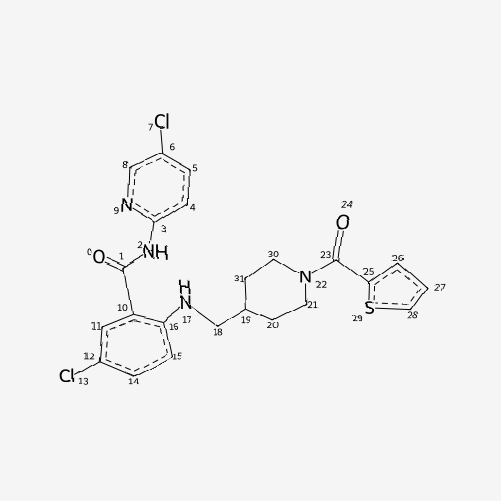 O=C(Nc1ccc(Cl)cn1)c1cc(Cl)ccc1NCC1CCN(C(=O)c2cccs2)CC1